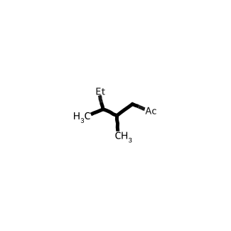 CCC(C)C(C)CC(C)=O